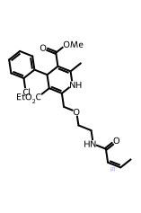 C/C=C\C(=O)NCCOCC1=C(C(=O)OCC)C(c2ccccc2Cl)C(C(=O)OC)=C(C)N1